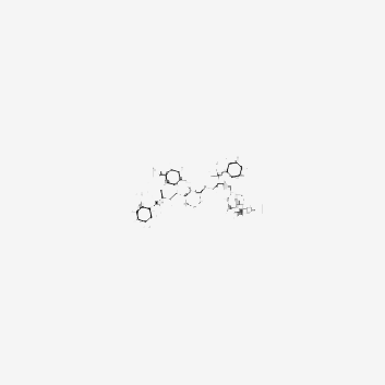 C=C(/C=C/C1=C(Sc2ccc(N)cc2)C(=C/C=C2/N(CCC(C)S(=O)(=O)O)c3ccccc3C2(C)C)/CCC1)C(C)(C)c1ccccc1C